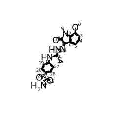 COc1cccc2c1N(C)C(=O)C2=NNC(=S)Nc1ccc(S(N)(=O)=O)cc1